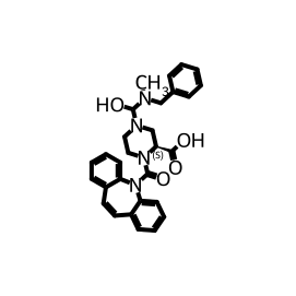 CN(Cc1ccccc1)C(O)N1CCN(C(=O)N2c3ccccc3C=Cc3ccccc32)[C@H](C(=O)O)C1